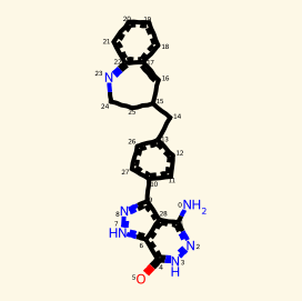 Nc1n[nH]c(=O)c2[nH]nc(-c3ccc(CC4C=c5ccccc5=NCC4)cc3)c12